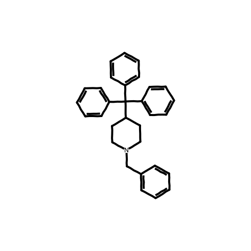 c1ccc(CN2CCC(C(c3ccccc3)(c3ccccc3)c3ccccc3)CC2)cc1